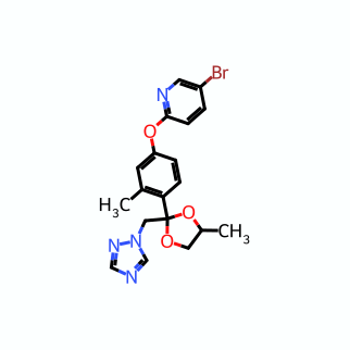 Cc1cc(Oc2ccc(Br)cn2)ccc1C1(Cn2cncn2)OCC(C)O1